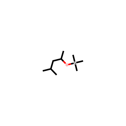 CC(C)CC(C)O[Si](C)(C)C